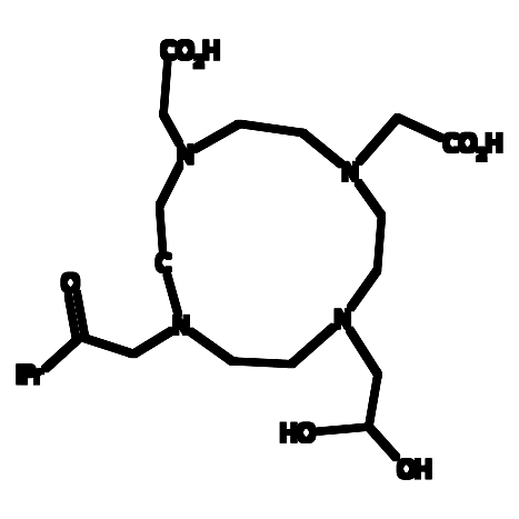 CC(C)C(=O)CN1CCN(CC(=O)O)CCN(CC(=O)O)CCN(CC(O)O)CC1